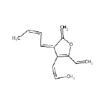 C=Cc1oc(=C)/c(=C\C=C/C)c1/C=C\C